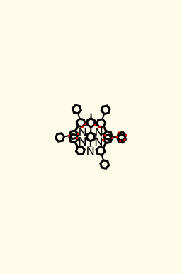 Cc1cc(C)c(-c2c(-n3c4ccc(-c5ccccc5)cc4c4cc(-c5ccccc5)ccc43)c(-n3c4ccccc4c4ccccc43)c(C#N)c(-n3c4ccc(-c5ccccc5)cc4c4cc(-c5ccccc5)ccc43)c2-n2c3ccc(-c4ccccc4)cc3c3cc(-c4ccccc4)ccc32)c(C)c1